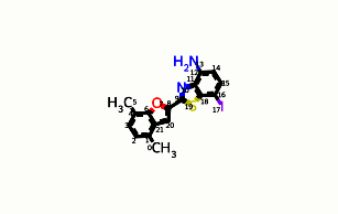 Cc1ccc(C)c2oc(-c3nc4c(N)ccc(I)c4s3)cc12